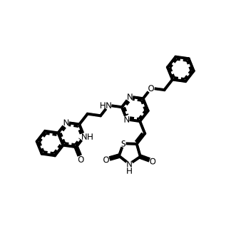 O=C1NC(=O)C(=Cc2cc(OCc3ccccc3)nc(NCCc3nc4ccccc4c(=O)[nH]3)n2)S1